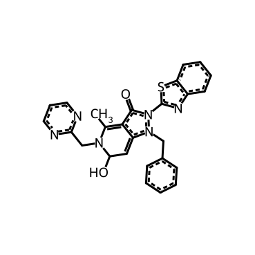 CC1=c2c(n(Cc3ccccc3)n(-c3nc4ccccc4s3)c2=O)=CC(O)N1Cc1ncccn1